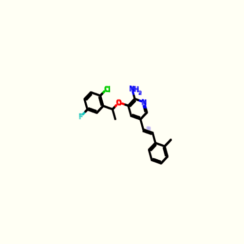 Cc1ccccc1/C=C/c1cnc(N)c(OC(C)c2cc(F)ccc2Cl)c1